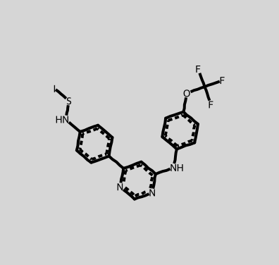 FC(F)(F)Oc1ccc(Nc2cc(-c3ccc(NSI)cc3)ncn2)cc1